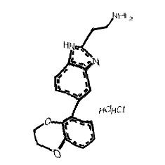 Cl.Cl.NCCc1nc2cc(-c3cccc4c3OCCO4)ccc2[nH]1